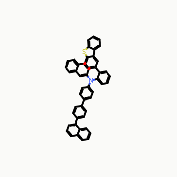 c1ccc(N(c2ccc(-c3ccc(-c4cccc5ccccc45)cc3)cc2)c2ccc3ccccc3c2)c(-c2ccc3sc4ccccc4c3c2)c1